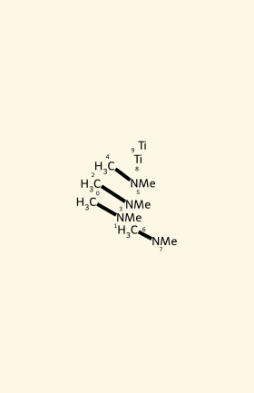 CNC.CNC.CNC.CNC.[Ti].[Ti]